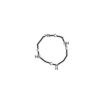 [CH]1[CH]NCCCNCCNCCCN1